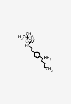 C=CCC[C@@H](N)c1ccc(CCNC(=O)OC(C)(C)C)cc1